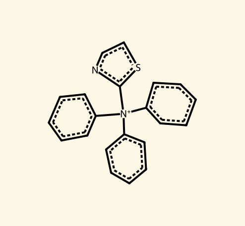 c1ccc([N+](c2ccccc2)(c2ccccc2)c2nccs2)cc1